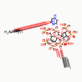 C1CNCCN1.O.O.O.O.O.O.O.O.O.O.O.O.O.O.O.O.O.O.O.O.O=S(=O)(O)OC[C@H]1O[C@@H](O[C@]2(COS(=O)(=O)O)O[C@H](OS(=O)(=O)O)[C@@H](OS(=O)(=O)O)[C@@H]2OS(=O)(=O)O)[C@H](OS(=O)(=O)O)[C@@H](OS(=O)(=O)O)[C@@H]1OS(=O)(=O)O.[AlH3].[AlH3].[AlH3].[AlH3].[AlH3].[AlH3].[AlH3].[AlH3].[AlH3]